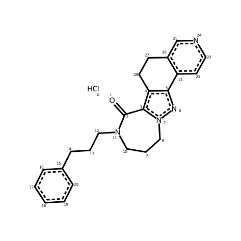 Cl.O=C1c2c3c(nn2CCCN1CCCc1ccccc1)-c1ccncc1CC3